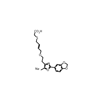 Cc1oc(-c2ccc3c(c2)OCO3)nc1CCOCC=CCSCC(=O)O.[Na]